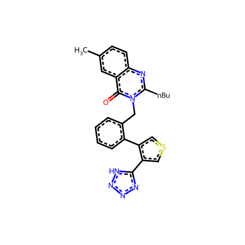 CCCCc1nc2ccc(C)cc2c(=O)n1Cc1ccccc1-c1cscc1-c1nnn[nH]1